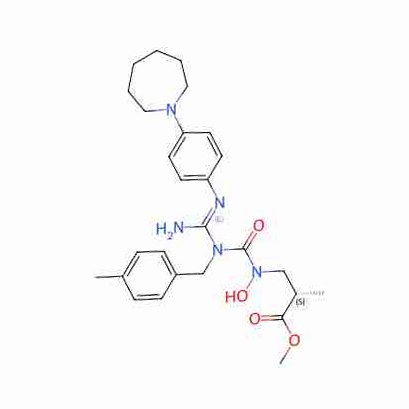 COC(=O)[C@@H](C)CN(O)C(=O)N(Cc1ccc(C)cc1)/C(N)=N/c1ccc(N2CCCCCC2)cc1